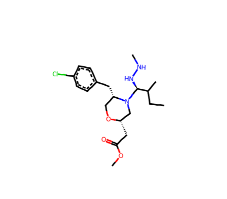 CCC(C)[C@H](NNC)N1C[C@H](CC(=O)OC)OC[C@@H]1Cc1ccc(Cl)cc1